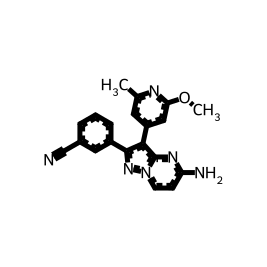 COc1cc(-c2c(-c3cccc(C#N)c3)nn3ccc(N)nc23)cc(C)n1